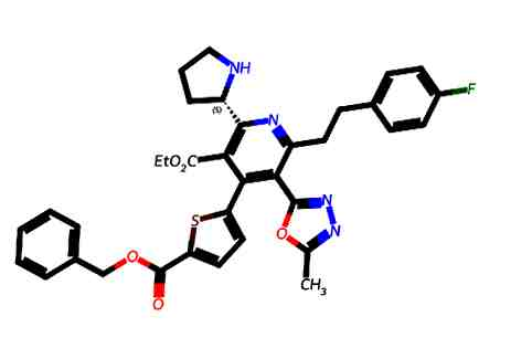 CCOC(=O)c1c([C@@H]2CCCN2)nc(CCc2ccc(F)cc2)c(-c2nnc(C)o2)c1-c1ccc(C(=O)OCc2ccccc2)s1